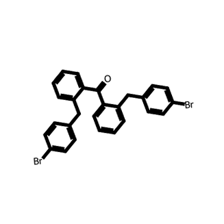 O=C(c1ccccc1Cc1ccc(Br)cc1)c1ccccc1Cc1ccc(Br)cc1